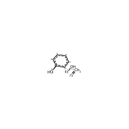 C=O.CCO.Oc1ccccc1